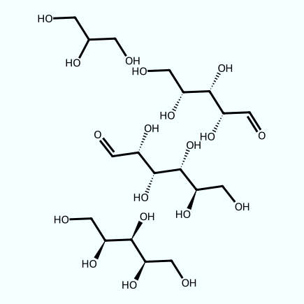 O=C[C@H](O)[C@@H](O)[C@H](O)CO.O=C[C@H](O)[C@@H](O)[C@H](O)[C@H](O)CO.OCC(O)CO.OC[C@@H](O)[C@H](O)[C@@H](O)CO